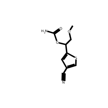 COCC(OC(N)=O)c1cc(C#N)cs1